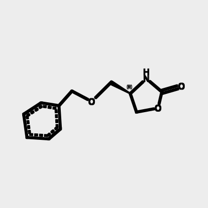 O=C1N[C@H](COCc2ccccc2)CO1